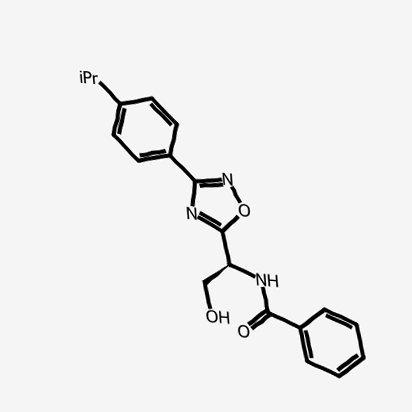 CC(C)c1ccc(-c2noc([C@H](CO)NC(=O)c3ccccc3)n2)cc1